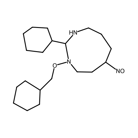 O=NC1CCCNC(C2CCCCC2)N(OCC2CCCCC2)CC1